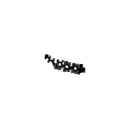 FCCC=C[C@H]1CC[C@H](c2ccc(-c3ccc(C(F)(F)F)cc3)cc2)CC1